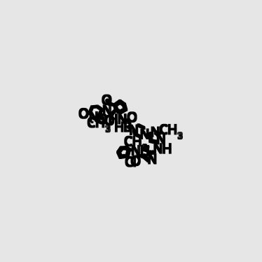 Cc1nc(Nc2ncc(C(=O)Nc3c(C)cccc3Cl)s2)cc(N2CCN(BC(=O)Nc3cccc4c3C(=O)N(C3CCC(=O)N(C)C3=O)C4=O)CC2)n1